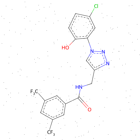 O=C(NCc1cn(-c2cc(Cl)ccc2O)nn1)c1cc(C(F)(F)F)cc(C(F)(F)F)c1